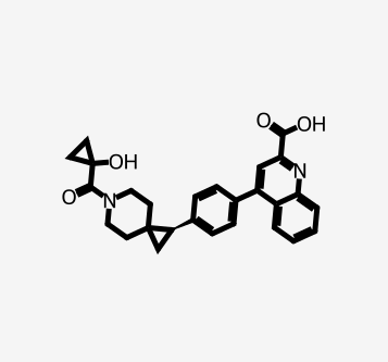 O=C(O)c1cc(-c2ccc([C@H]3CC34CCN(C(=O)C3(O)CC3)CC4)cc2)c2ccccc2n1